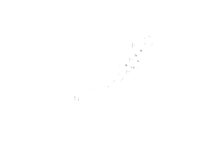 C[C@]12CC[C@H](OCCOCCN3CCCC3)C=C1CC[C@@H]1[C@@H]2CC[C@@]2(C)[C@H]1CC[C@@]2(O)c1ccsc1